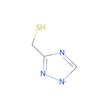 SCC1=N[N]C=N1